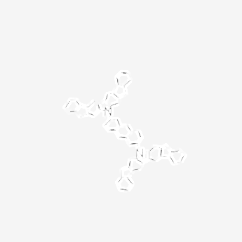 c1ccc2c(c1)Cc1cc3c(cc1-2)c1cc2c(cc1n3-c1ccc3cc4cc(-n5c6cc7c(cc6c6cc8c(cc65)Cc5ccccc5-8)-c5ccccc5C7)ccc4cc3c1)Cc1ccccc1-2